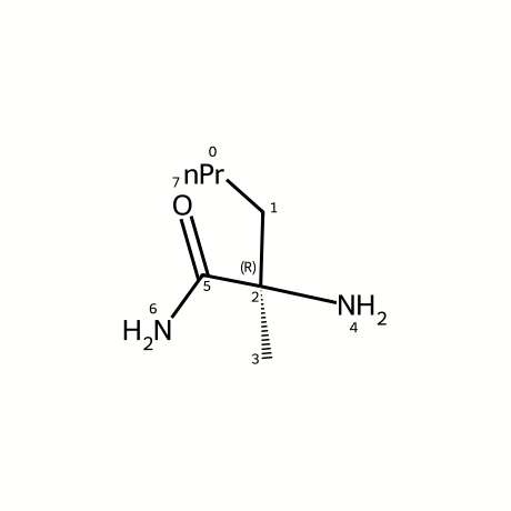 CCCC[C@@](C)(N)C(N)=O